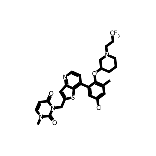 Cc1cc(Cl)cc(-c2ccnc3cc(Cn4c(=O)ccn(C)c4=O)sc23)c1OC1CCCN(CCC(F)(F)F)C1